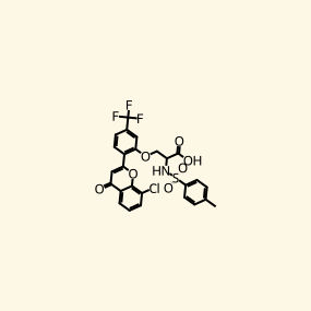 Cc1ccc(S(=O)(=O)NC(COc2cc(C(F)(F)F)ccc2-c2cc(=O)c3cccc(Cl)c3o2)C(=O)O)cc1